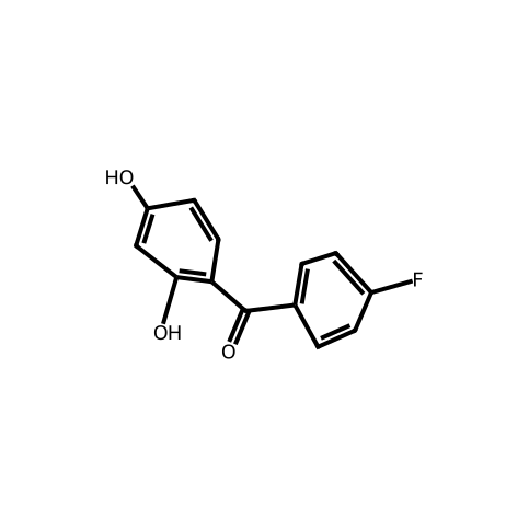 O=C(c1ccc(F)cc1)c1ccc(O)cc1O